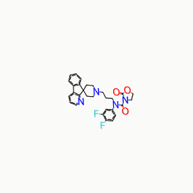 O=C1OCCN1C(=O)N(CCCN1CCC2(CC1)c1ccccc1-c1cccnc12)c1ccc(F)c(F)c1